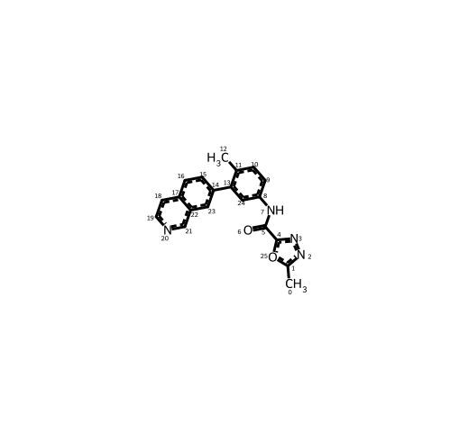 Cc1nnc(C(=O)Nc2ccc(C)c(-c3ccc4ccncc4c3)c2)o1